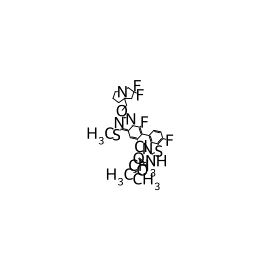 CSc1nc(OCC23CCCN2CC(F)(F)C3)nc2c(F)c(-c3ccc(F)c4sc(NC(=O)OC(C)(C)C)nc34)c(Cl)cc12